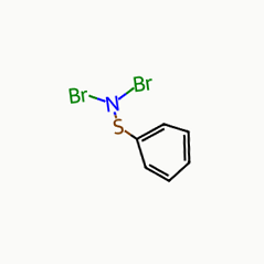 BrN(Br)Sc1ccccc1